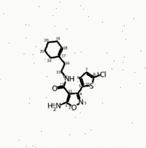 Nc1onc(-c2ccc(Cl)s2)c1C(=O)NCCC1=CCCCC1